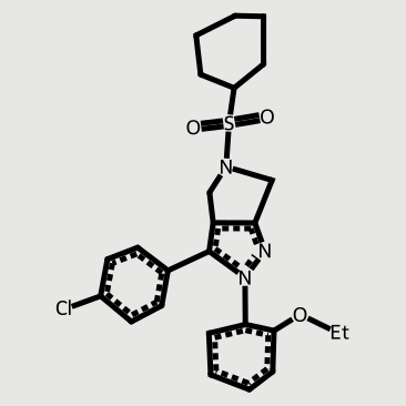 CCOc1ccccc1-n1nc2c(c1-c1ccc(Cl)cc1)CN(S(=O)(=O)C1CCCCC1)C2